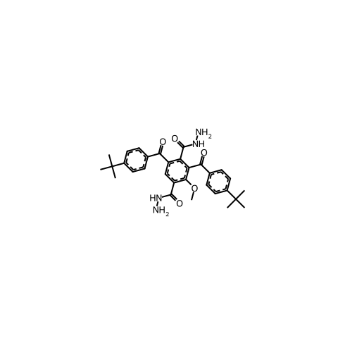 COc1c(C(=O)NN)cc(C(=O)c2ccc(C(C)(C)C)cc2)c(C(=O)NN)c1C(=O)c1ccc(C(C)(C)C)cc1